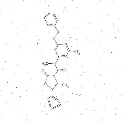 C[C@H](C(=O)N1C(=O)O[C@@H](c2ccccc2)[C@H]1C)c1cc(OCc2ccccc2)cc(C(F)(F)F)c1